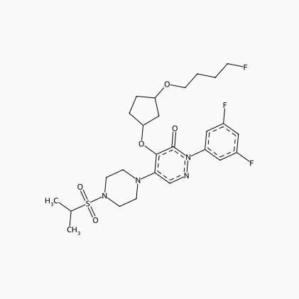 CC(C)S(=O)(=O)N1CCN(c2cnn(-c3cc(F)cc(F)c3)c(=O)c2OC2CCC(OCCCCF)C2)CC1